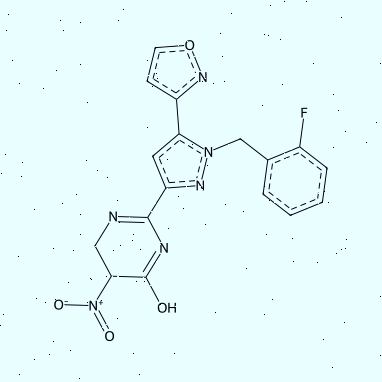 O=[N+]([O-])C1CN=C(c2cc(-c3ccon3)n(Cc3ccccc3F)n2)N=C1O